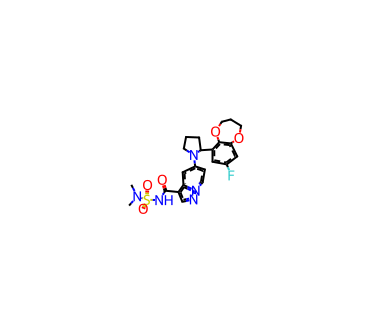 CN(C)S(=O)(=O)NC(=O)c1cnn2ccc(N3CCCC3c3cc(F)cc4c3OCCCO4)cc12